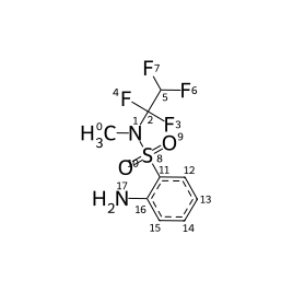 CN(C(F)(F)C(F)F)S(=O)(=O)c1ccccc1N